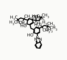 CC(C)(C)CC(C)(C)C1=CC(C)(C(C)(C)CC(C)(C)C)C=C(Cc2cc(C(C)(C)CC(C)(C)C)cc(-n3nc4ccccc4n3)c2O)C1O